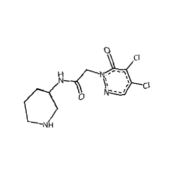 O=C(Cn1ncc(Cl)c(Cl)c1=O)NC1CCCNC1